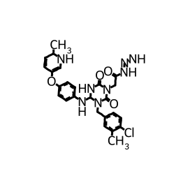 Cc1cc(CN2C(=O)N(CC(=O)NN=N)C(=O)NC2Nc2ccc(OC3=CNC(C)C=C3)cc2)ccc1Cl